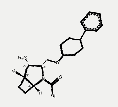 N[C@H]1[C@H]2CC[C@H]2N(C(=O)O)[C@H]1COC1CCC(c2ccccc2)CC1